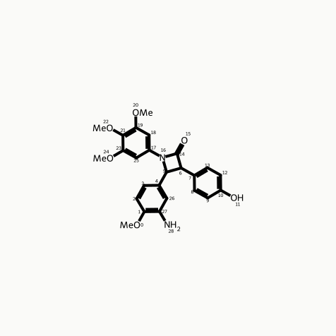 COc1ccc(C2C(c3ccc(O)cc3)C(=O)N2c2cc(OC)c(OC)c(OC)c2)cc1N